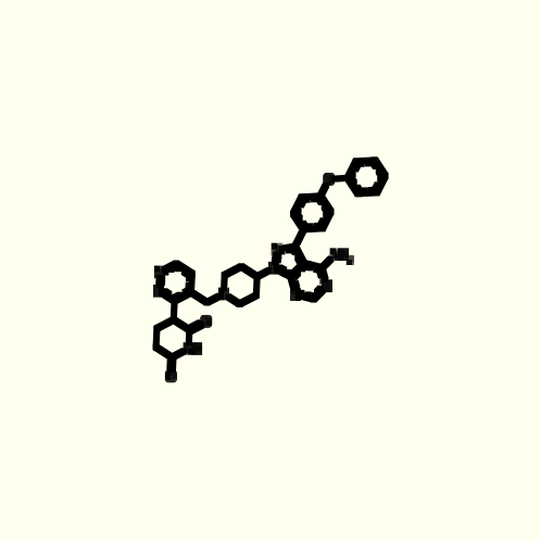 Nc1ncnc2c1c(-c1ccc(Oc3ccccc3)cc1)nn2C1CCN(Cc2ccnnc2C2CCC(=O)NC2=O)CC1